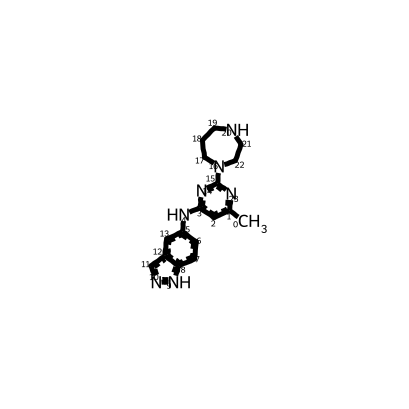 Cc1cc(Nc2ccc3[nH]ncc3c2)nc(N2CCCNCC2)n1